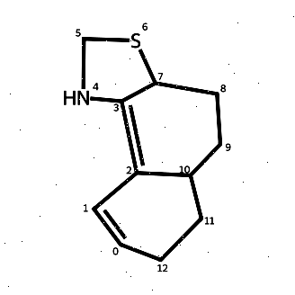 C1=CC2=C3NCSC3CCC2CC1